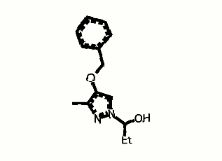 CCC(O)n1cc(OCc2ccccc2)c(C)n1